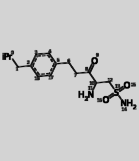 CC(C)Cc1ccc(CCC(=O)C(N)CS(N)(=O)=O)cc1